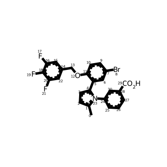 Cc1ccc(-c2cc(Br)ccc2OCc2cc(F)c(F)c(F)c2)n1-c1cccc(C(=O)O)c1